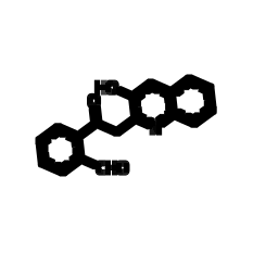 O=Cc1ccccc1C(=O)Cc1nc2ccccc2cc1O